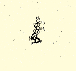 CC1(C)OCC(C(OC(=O)CS(=O)(=O)Nc2c(F)cc(F)cc2F)C(N)=O)O1